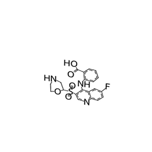 O=C(O)c1ccccc1Nc1c(S(=O)(=O)C2CNCCO2)cnc2ccc(F)cc12